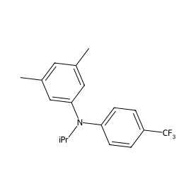 Cc1cc(C)cc(N(c2ccc(C(F)(F)F)cc2)C(C)C)c1